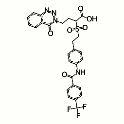 O=C(Nc1ccc(CCS(=O)(=O)C(CCn2nnc3ccccc3c2=O)C(=O)O)cc1)c1ccc(C(F)(F)F)cc1